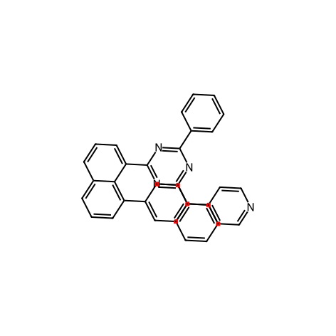 c1ccc(-c2nc(-c3ccccc3)nc(-c3cccc4cccc(-c5ccc(-c6ccncc6)cc5)c34)n2)cc1